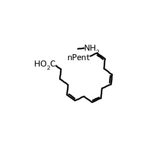 CCCCC/C=C\C/C=C\C/C=C\C/C=C\CCCC(=O)O.CN